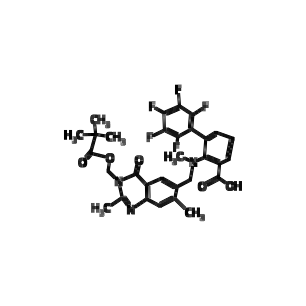 Cc1cc2nc(C)n(COC(=O)C(C)(C)C)c(=O)c2cc1CN(C)c1c(C(=O)O)cccc1-c1c(F)c(F)c(F)c(F)c1F